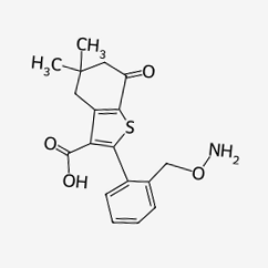 CC1(C)CC(=O)c2sc(-c3ccccc3CON)c(C(=O)O)c2C1